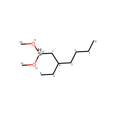 CCCCC(CC)C[SiH](OC)OC